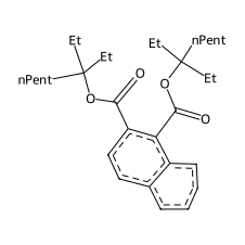 CCCCCC(CC)(CC)OC(=O)c1ccc2ccccc2c1C(=O)OC(CC)(CC)CCCCC